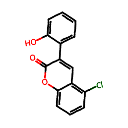 O=c1oc2cccc(Cl)c2cc1-c1ccccc1O